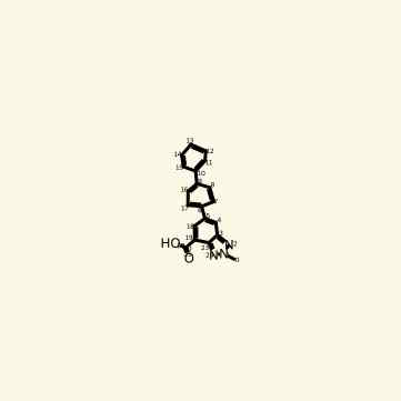 Cn1nc2cc(-c3ccc(-c4ccccc4)cc3)cc(C(=O)O)c2n1